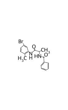 Cc1ccc(Br)cc1NC(=O)C(C)NC(=O)c1ccccc1